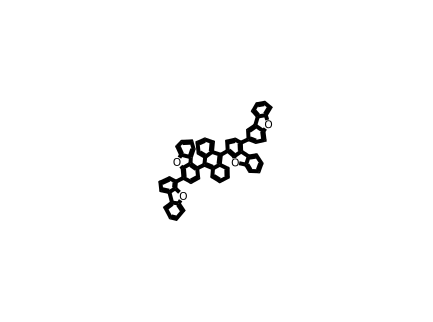 c1ccc2c(c1)oc1ccc(-c3ccc(-c4c5ccccc5c(-c5ccc(-c6cccc7c6oc6ccccc67)c6oc7ccccc7c56)c5ccccc45)c4oc5ccccc5c34)cc12